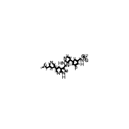 CN(C)Cc1cncc(-c2cnc3[nH]nc(-c4nc5c(-c6cc(F)cc(CNS(C)(=O)=O)c6)ccnc5[nH]4)c3c2)c1